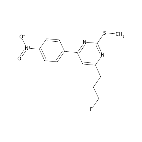 CSc1nc(CCCF)cc(-c2ccc([N+](=O)[O-])cc2)n1